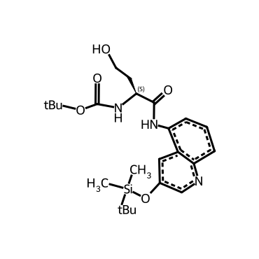 CC(C)(C)OC(=O)N[C@@H](CCO)C(=O)Nc1cccc2ncc(O[Si](C)(C)C(C)(C)C)cc12